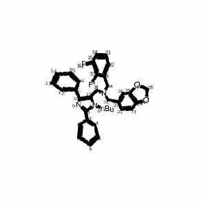 CCCCn1c(-c2ccccc2)nc(-c2ccccc2)c1CN(Cc1ccc2c(c1)OCO2)Cc1cccc(F)c1F